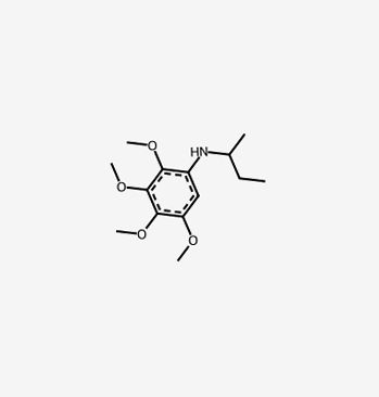 CCC(C)Nc1cc(OC)c(OC)c(OC)c1OC